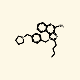 CCCCc1nc2c(N)nc3ccccc3c2n1Cc1ccc(CN2CCCC2)cc1